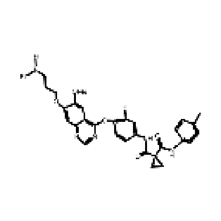 CCN(CC)CCCOc1cc2ncnc(Oc3ccc(NC(=O)C4(C(=O)NC5=C=C=C(C)C=C5)CC4)cc3F)c2cc1OC